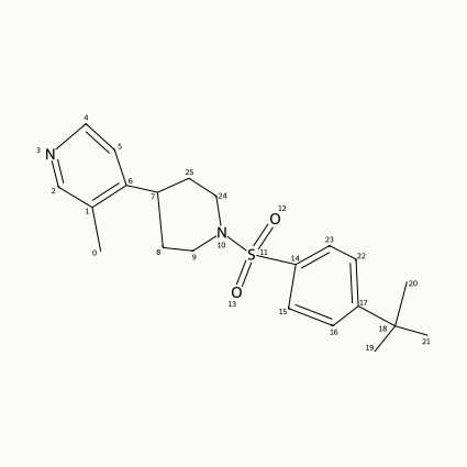 Cc1cnccc1C1CCN(S(=O)(=O)c2ccc(C(C)(C)C)cc2)CC1